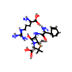 CC1(C)S[C@@H]2[C@H](NC(=O)C(N)c3ccccc3)C(=O)N2[C@H]1C(=O)O.NC(N)=NCCCC(N)C(=O)O